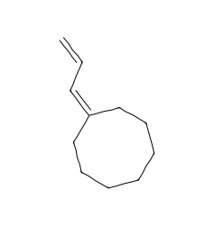 C=CC=C1CCCCCCC1